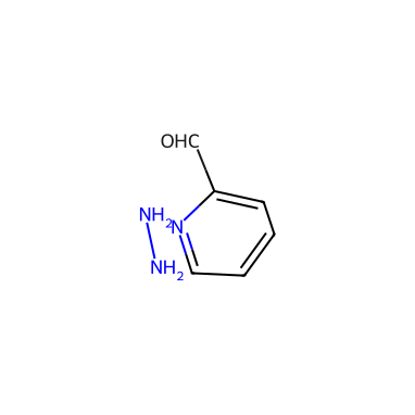 NN.O=Cc1ccccn1